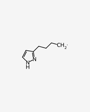 [CH2]CCCc1cc[nH]n1